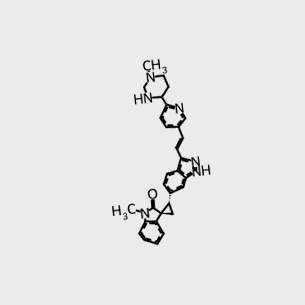 CN1CCC(c2ccc(/C=C/c3n[nH]c4cc([C@@H]5C[C@@]56C(=O)N(C)c5ccccc56)ccc34)cn2)NC1